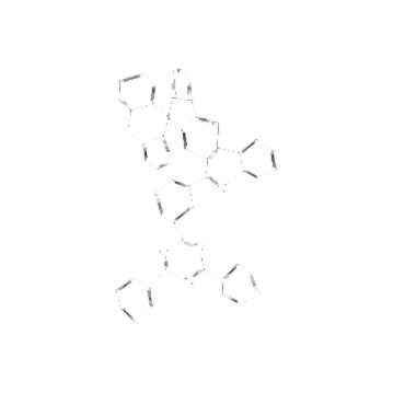 c1ccc(-c2nc(-c3ccccc3)nc(-c3cccc(-c4nc5ccccc5c5cc6c(cc45)C4(c5ccccc5Sc5ccccc54)c4ccccc4-6)c3)n2)cc1